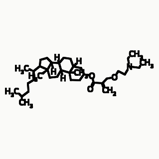 C=C(COCCN(CC)CC)C(=O)O[C@H]1CC[C@@]2(C)[C@H](CC[C@@H]3[C@H]2CC[C@]2(C)C([C@H](C)CCCC(C)C)CC[C@H]32)C1